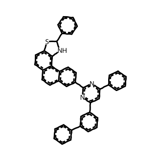 c1ccc(-c2cccc(-c3cc(-c4ccccc4)nc(-c4ccc5c(ccc6ccc7c(c65)NC(c5ccccc5)S7)c4)n3)c2)cc1